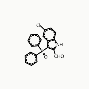 O=Cc1[nH]c2ccc(Cl)cc2c1P(=O)(c1ccccc1)c1ccccc1